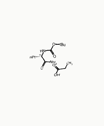 CCC(=O)O.CCC[C@H](NC(=O)OC(C)(C)C)C(N)=O